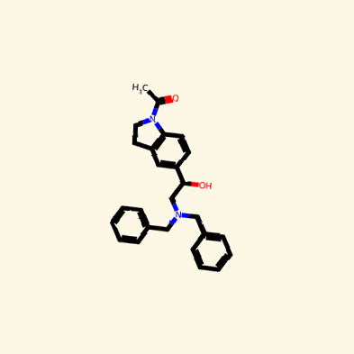 CC(=O)N1CCc2cc(C(O)CN(Cc3ccccc3)Cc3ccccc3)ccc21